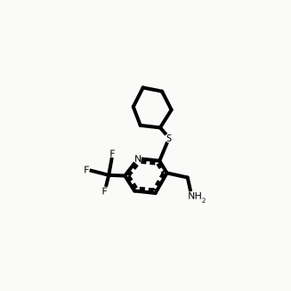 NCc1ccc(C(F)(F)F)nc1SC1CCCCC1